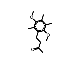 COc1c(C)c(C)c(OC)c(CCC(C)=O)c1C